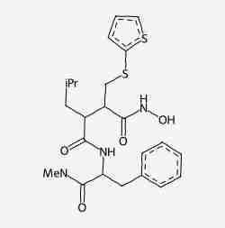 CNC(=O)C(Cc1ccccc1)NC(=O)C(CC(C)C)C(CSc1cccs1)C(=O)NO